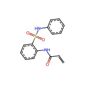 C=CC(=O)Nc1ccccc1S(=O)(=O)Nc1ccccc1